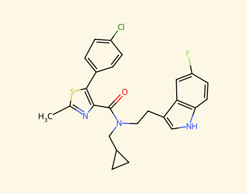 Cc1nc(C(=O)N(CCc2c[nH]c3ccc(F)cc23)CC2CC2)c(-c2ccc(Cl)cc2)s1